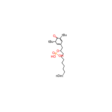 CCCCCCCCCCCCCCCCCC(CC1=CC(C(C)(C)C)C(=O)C(C(C)(C)C)=C1)OP(=O)(O)O